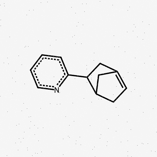 C1=C2CC(C1)C(c1ccccn1)C2